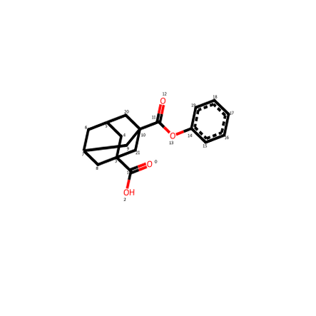 O=C(O)C12CC3CC(C1)CC(C(=O)Oc1ccccc1)(C3)C2